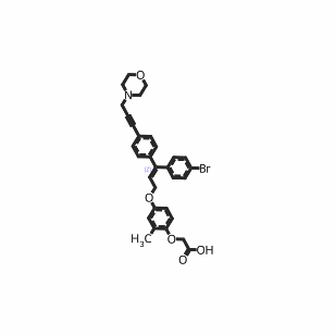 Cc1cc(OC/C=C(\c2ccc(Br)cc2)c2ccc(C#CCN3CCOCC3)cc2)ccc1OCC(=O)O